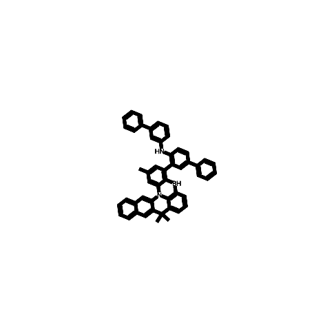 Cc1cc(-c2cc(-c3ccccc3)ccc2Nc2cccc(-c3ccccc3)c2)c2c(c1)N1c3cc4ccccc4cc3C(C)(C)c3cccc(c31)B2